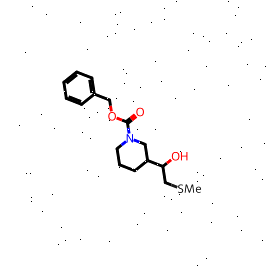 CSCC(O)C1CCCN(C(=O)OCc2ccccc2)C1